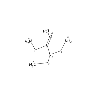 CCN(CC)C(=O)CN.Cl